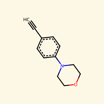 C#Cc1ccc(N2CCOCC2)cc1